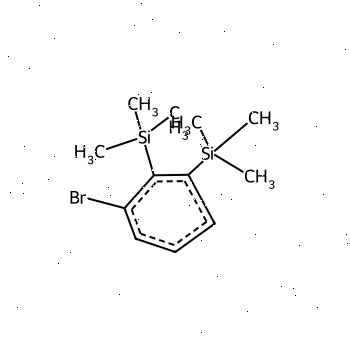 C[Si](C)(C)c1cccc(Br)c1[Si](C)(C)C